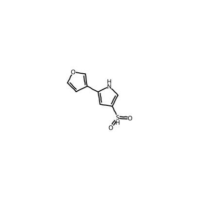 O=[SH](=O)c1c[nH]c(-c2ccoc2)c1